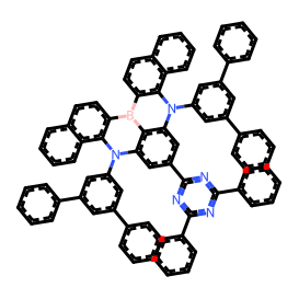 c1ccc(-c2cc(-c3ccccc3)cc(N3c4cc(-c5nc(-c6ccccc6)nc(-c6ccccc6)n5)cc5c4B(c4ccc6ccccc6c43)c3ccc4ccccc4c3N5c3cc(-c4ccccc4)cc(-c4ccccc4)c3)c2)cc1